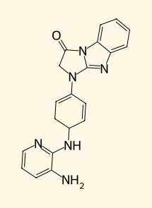 Nc1cccnc1NC1C=CC(N2CC(=O)n3c2nc2ccccc23)=CC1